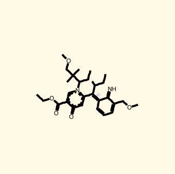 CCOC(=O)c1cn(C(CC)C(C)(C)COC)c(/C(=C2\C=CC=C(COC)C2=N)C(C)CC)cc1=O